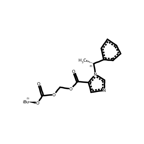 CC[C@H](C)OC(=O)OCOC(=O)c1cncn1[C@H](C)c1ccccc1